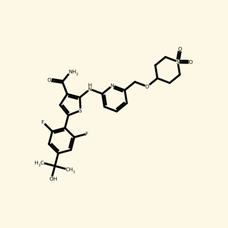 CC(C)(O)c1cc(F)c(-c2cc(C(N)=O)c(Nc3cccc(COC4CCS(=O)(=O)CC4)n3)s2)c(F)c1